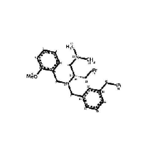 COc1ccccc1CN(Cc1cccc(CC(C)C)c1)[C@@H](CC(C)C)CN(C)C